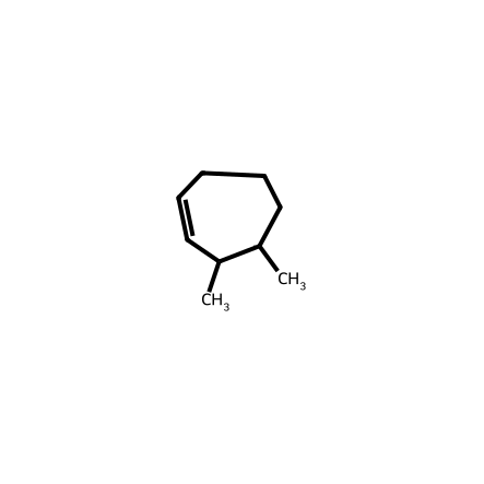 C[C]1CCCC=CC1C